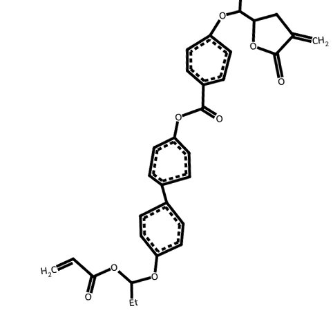 C=CC(=O)OC(CC)Oc1ccc(-c2ccc(OC(=O)c3ccc(OC(CCCCCCCC)C4CC(=C)C(=O)O4)cc3)cc2)cc1